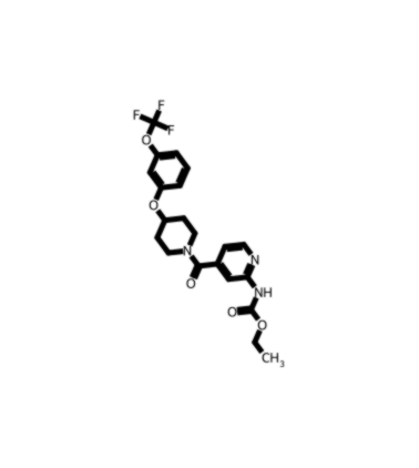 CCOC(=O)Nc1cc(C(=O)N2CCC(Oc3cccc(OC(F)(F)F)c3)CC2)ccn1